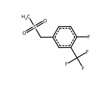 CS(=O)(=O)Cc1ccc(F)c(C(F)(F)F)c1